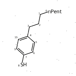 CCCCCCCCc1ccc(S)cc1